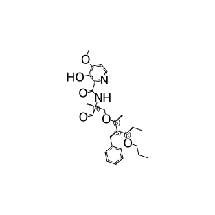 CCCO[C@H](CC)[C@@H](Cc1ccccc1)[C@H](C)OC[C@](C)(C=O)NC(=O)c1nccc(OC)c1O